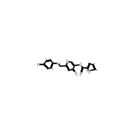 O=C(Oc1coc(CSc2ccc(Cl)cc2)cc1=O)c1ccc[nH]1